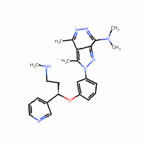 CNCC[C@@H](Oc1cccc(-n2nc3c(N(C)C)nnc(C)c3c2C)c1)c1cccnc1